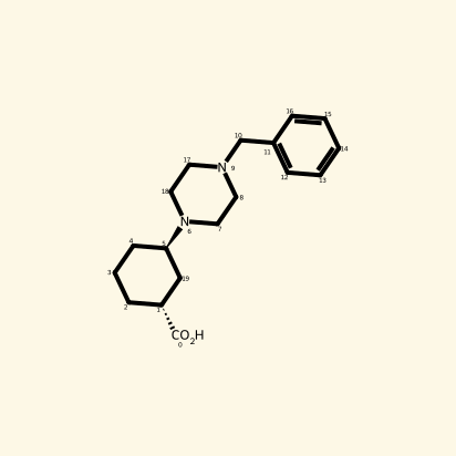 O=C(O)[C@@H]1CCC[C@@H](N2CCN(Cc3ccccc3)CC2)C1